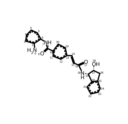 Nc1ccccc1NC(=O)c1ccc(/C=C/C(=O)N[C@H]2c3ccccc3C[C@H]2O)cc1